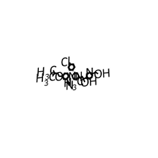 CC(C)COc1ccc(N2CCN(C[C@@](C)(O)c3ccc(CO)nc3)C[C@H]2c2ccc(Cl)cc2)c(C#N)c1